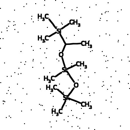 CC(O[Si](C)(C)O[Si](C)(C)C)[Si](C)(C)C